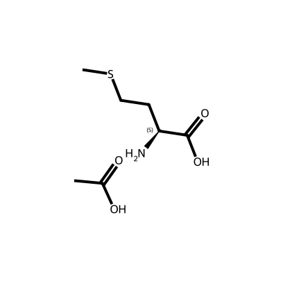 CC(=O)O.CSCC[C@H](N)C(=O)O